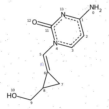 Nc1ccn(/C=C2\CC2CO)c(=O)n1